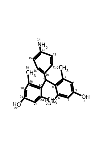 Cc1cc(O)cc(C)c1C(c1ccc(N)cc1)c1c(C)cc(O)cc1C